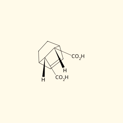 O=C(O)[C@@H]1C2C=CC(CC2)[C@@H]1C(=O)O